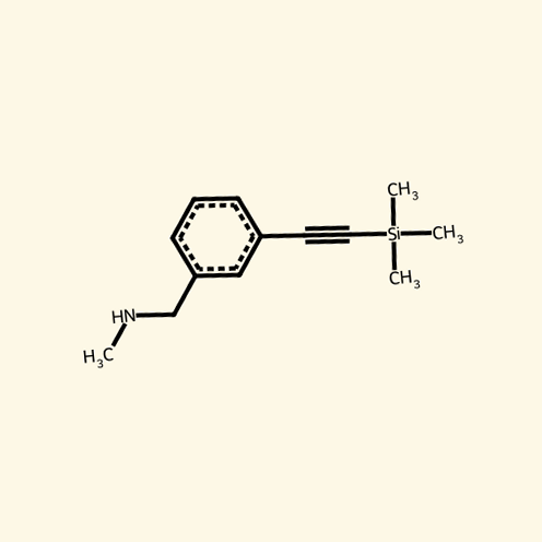 CNCc1cccc(C#C[Si](C)(C)C)c1